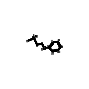 CN(C)CCOc1ccccc1